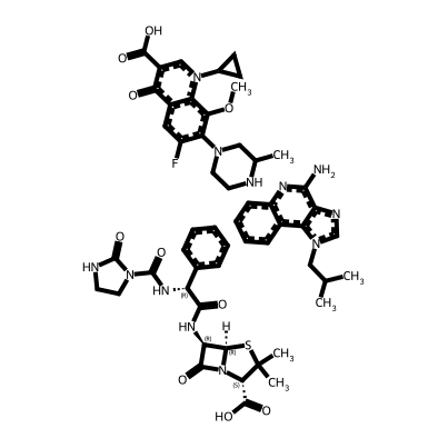 CC(C)Cn1cnc2c(N)nc3ccccc3c21.CC1(C)S[C@@H]2[C@H](NC(=O)[C@H](NC(=O)N3CCNC3=O)c3ccccc3)C(=O)N2[C@H]1C(=O)O.COc1c(N2CCNC(C)C2)c(F)cc2c(=O)c(C(=O)O)cn(C3CC3)c12